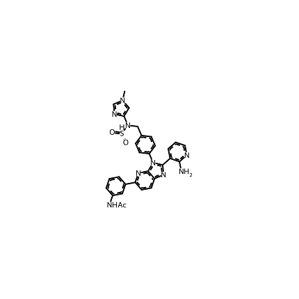 CC(=O)Nc1cccc(-c2ccc3nc(-c4cccnc4N)n(-c4ccc(CN(c5cn(C)cn5)[SH](=O)=O)cc4)c3n2)c1